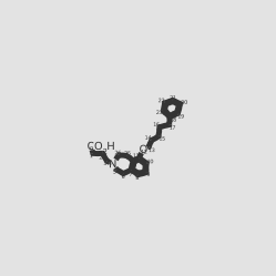 O=C(O)CCCN1CCc2cccc(OCCCCCc3ccccc3)c2CC1